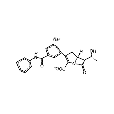 C[C@@H](O)[C@H]1C(=O)N2C(C(=O)[O-])=C(c3cccc(C(=O)Nc4ccccc4)c3)C[C@H]12.[Na+]